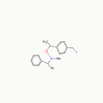 CC(ON(C(c1ccccc1)C(C)C)C(C)(C)C)c1ccc(CI)cc1